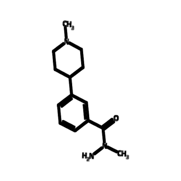 CN1CCC(c2cccc(C(=O)N(C)N)c2)CC1